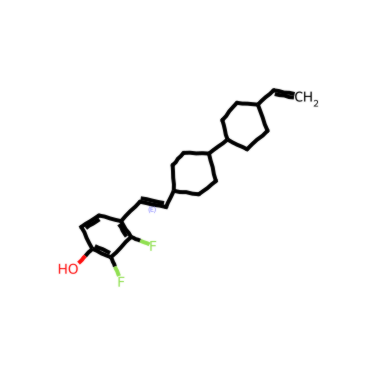 C=CC1CCC(C2CCC(/C=C/c3ccc(O)c(F)c3F)CC2)CC1